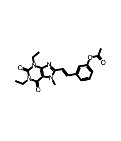 CCn1c(=O)c2c(nc(C=Cc3cccc(OC(C)=O)c3)n2C)n(CC)c1=O